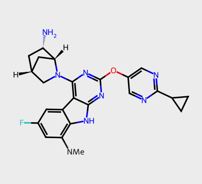 CNc1cc(F)cc2c1[nH]c1nc(Oc3cnc(C4CC4)nc3)nc(N3C[C@H]4C[C@@H]3[C@@H](N)C4)c12